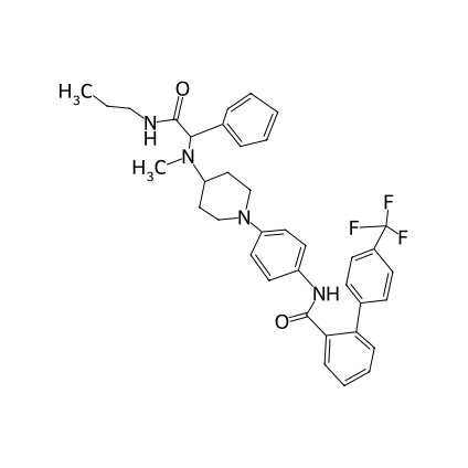 CCCNC(=O)C(c1ccccc1)N(C)C1CCN(c2ccc(NC(=O)c3ccccc3-c3ccc(C(F)(F)F)cc3)cc2)CC1